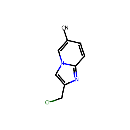 N#Cc1ccc2nc(CCl)cn2c1